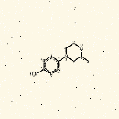 CC1CN(c2cnc(N)nn2)CCO1